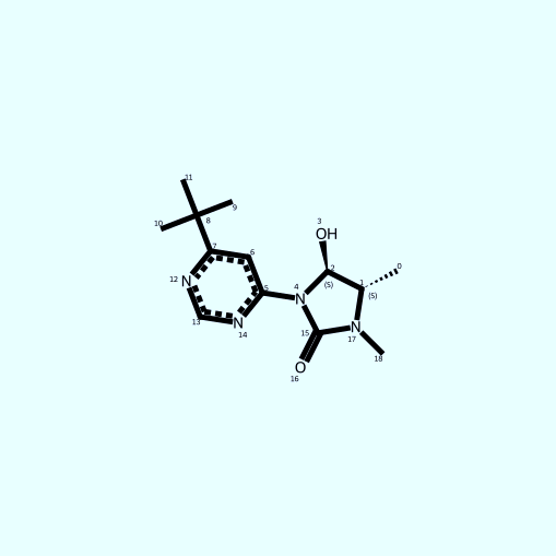 C[C@H]1[C@H](O)N(c2cc(C(C)(C)C)ncn2)C(=O)N1C